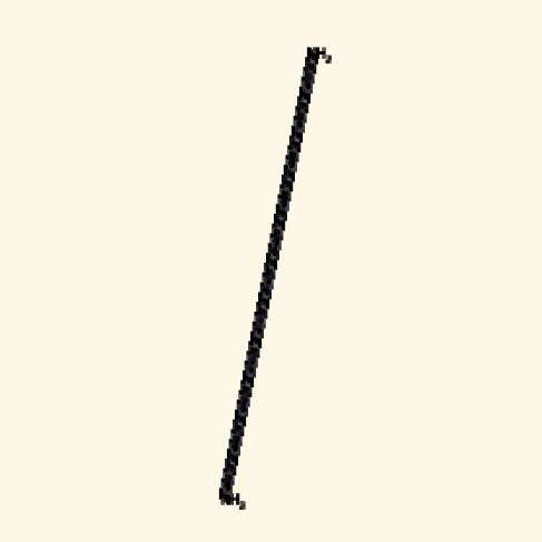 N/N=N/N=N/N=N/N=N/N=N/N=N/N=N/N=N/N=N/N=N/N=N/N=N/N=N/N=N/N=N/N=N/N=N/N=N/N=N/N=N/N=N/N=N/N=N/N=N/N=N/N=N/N=N/N=N/N=N/N=N/N=N/N=N/N=N/N=N/N=N/N=N/N=N/N=N/N=N/N=N/N=N/N=N/N=N/N=N/N=N/N